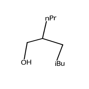 CCCC(CO)CC(C)CC